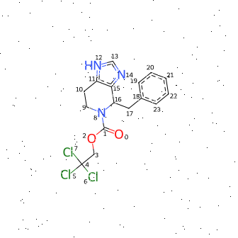 O=C(OCC(Cl)(Cl)Cl)N1CCc2[nH]cnc2C1Cc1ccccc1